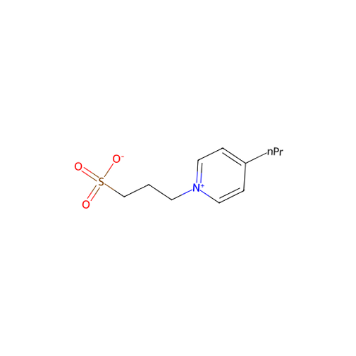 CCCc1cc[n+](CCCS(=O)(=O)[O-])cc1